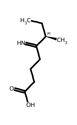 CC[C@@H](C)C(=N)CCCC(=O)O